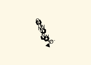 [O-][S+](c1cnc2c(ccn2-c2ccc3nc(N4CCOCC4)nn3c2)c1)C1CC1